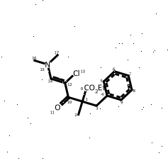 CCOC(=O)C(C)(Cc1ccccc1)C(=O)/C(Cl)=C/N(C)C